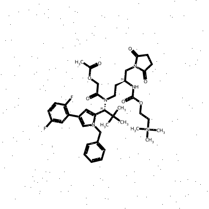 CC(=O)OCC(=O)N(CC[C@@H](CN1C(=O)CCC1=O)NC(=O)OCC[Si](C)(C)C)[C@@H](c1cc(-c2cc(F)ccc2F)cn1Cc1ccccc1)C(C)(C)C